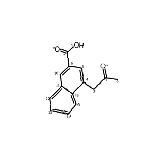 CC(=O)Cc1cc(C(=O)O)cc2ccccc12